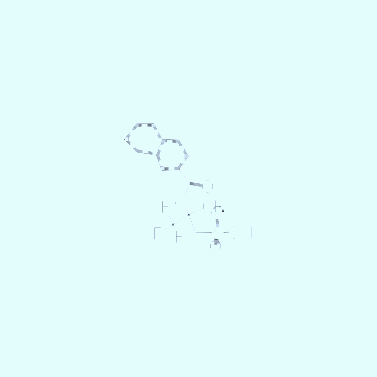 CC(CS(=O)(=O)O)(OC(=O)c1ccc2ccccc2c1)C(F)(F)F